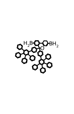 BC1=CC2=C(CC1)c1ccc(B)cc1C(c1ccc(-c3cc(-c4ccccc4)c(-c4ccccc4)c(-c4ccccc4)c3-c3ccccc3)cc1)(c1ccc(-c3cc(-c4ccccc4)c(-c4ccccc4)c(-c4ccccc4)c3-c3ccccc3)cc1)O2